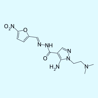 CN(C)CCn1ncc(C(=O)NN=Cc2ccc([N+](=O)[O-])o2)c1N